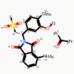 CC(C)C(=O)C(C)C.CCOc1cc([C@@H](CS(C)(=O)=O)N2C(=O)c3cccc(NC(C)=O)c3C2=O)ccc1OC